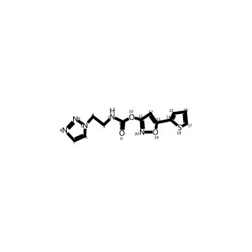 O=C(NCCn1ccnn1)Oc1cc(-c2cccs2)on1